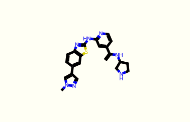 C=C(NC1CCNC1)c1ccnc(Nc2nc3ccc(-c4cnn(C)c4)cc3s2)c1